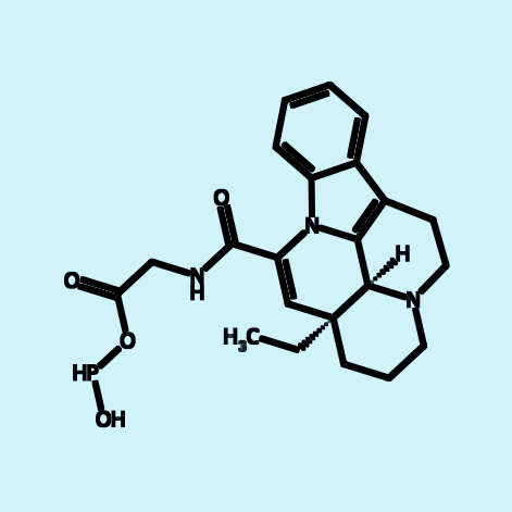 CC[C@@]12C=C(C(=O)NCC(=O)OPO)n3c4c(c5ccccc53)CCN(CCC1)[C@H]42